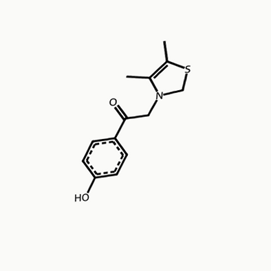 CC1=C(C)N(CC(=O)c2ccc(O)cc2)CS1